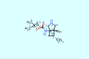 C[C@@H]1C[C@]2(NC(=O)OC(C)(C)C)CNC[C@H]12